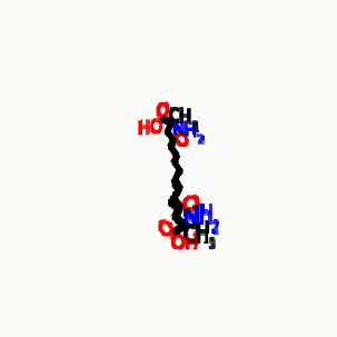 CC(N)(CC(=O)CCCCCCCC(=O)CC(C)(N)C(=O)O)C(=O)O